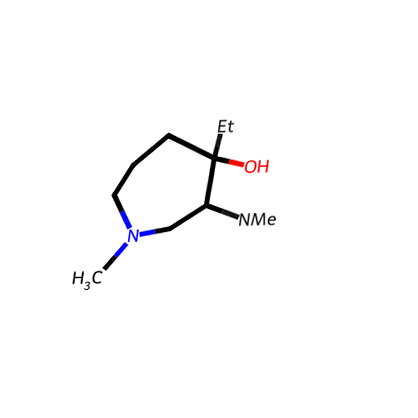 CCC1(O)CCCN(C)CC1NC